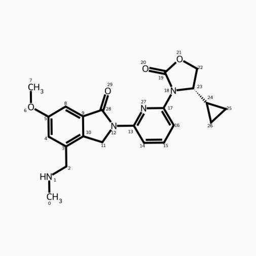 CNCc1cc(OC)cc2c1CN(c1cccc(N3C(=O)OC[C@@H]3C3CC3)n1)C2=O